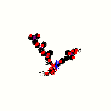 CC(C)(C)[Si](C)(C)O[C@@H]1CO[C@H]2[C@@H]1OC[C@H]2Oc1nc2cc(-c3ccc(-c4ccccc4)cc3)ncc2n1COCC[Si](C)(C)C.[Pd].c1ccc(P(c2ccccc2)c2ccccc2)cc1.c1ccc(P(c2ccccc2)c2ccccc2)cc1.c1ccc(P(c2ccccc2)c2ccccc2)cc1.c1ccc(P(c2ccccc2)c2ccccc2)cc1